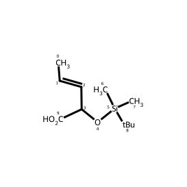 CC=CC(O[Si](C)(C)C(C)(C)C)C(=O)O